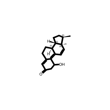 C[C@@H]1CC[C@H]2[C@@H]3CCC4=CC(=O)CC(O)C4=C3C=C[C@]12C